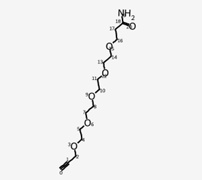 C#CCOCCOCCOCCOCCOCCC(N)=O